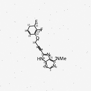 CNc1ncnc2[nH]c(C#CCOC3=C(F)C(F)CC=C3)nc12